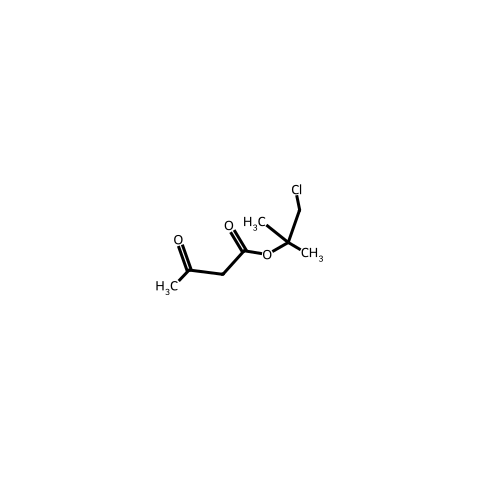 CC(=O)CC(=O)OC(C)(C)CCl